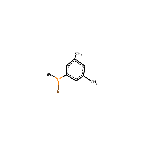 Cc1cc(C)cc(P(Br)C(C)C)c1